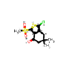 CC1(C)CC(=O)c2c(S(C)(=O)=O)sc(Cl)c2C1